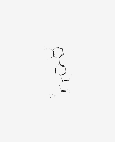 COC(=O)Cc1coc2cc(-c3cccc(Br)c3C)ccc12